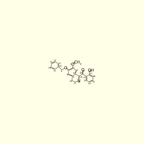 COc1cc2c(cc1OCc1ccccc1)CCN=C2C(=O)c1ccccc1O